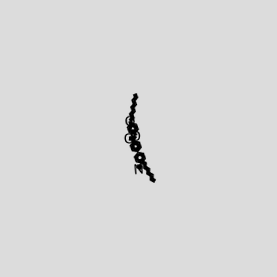 CCCCCCCCOc1ccc(OC(=O)c2ccc([C@H]3CC[C@@](C#N)(CCCCCCC)CC3)cc2)cc1